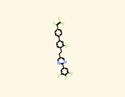 FC(F)=C(F)c1ccc(-c2ccc(CCc3cnc(-c4cc(F)c(F)c(F)c4)nc3)c(F)c2)cc1